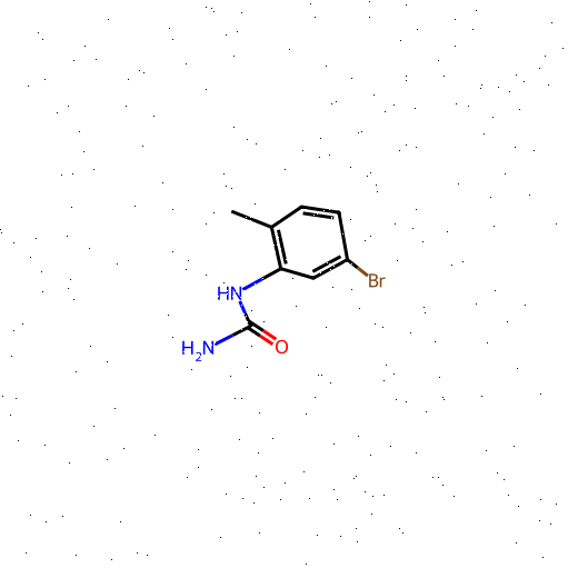 Cc1ccc(Br)cc1NC(N)=O